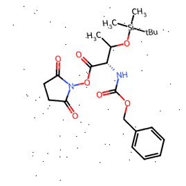 CC(O[Si](C)(C)C(C)(C)C)[C@H](NC(=O)OCc1ccccc1)C(=O)ON1C(=O)CCC1=O